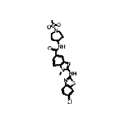 Cn1c(Nc2nc3ccc(Cl)cc3s2)nc2cc(C(=O)NC3CCN(S(C)(=O)=O)CC3)ccc21